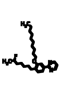 CCCCCCCCCCOc1cc(-c2ncccn2)ccc1CCCCCC(C)F